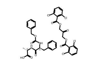 C[C@H](NC(=O)[C@H](Cc1ccccc1)NC(=O)OCc1ccccc1)C(=O)O.O=C(COC(=O)c1c(Cl)cccc1Cl)COC(=O)c1c(Cl)cccc1Cl